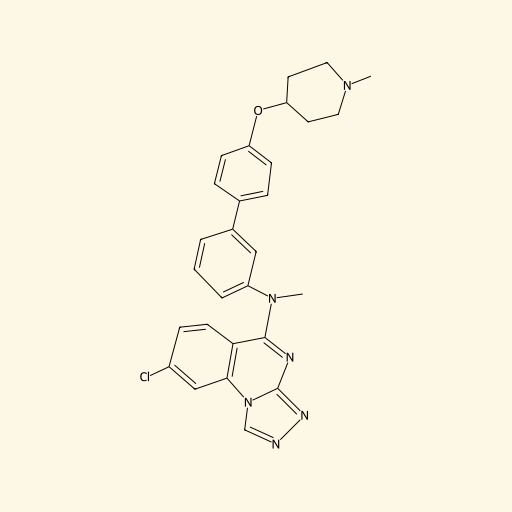 CN1CCC(Oc2ccc(-c3cccc(N(C)c4nc5nncn5c5cc(Cl)ccc45)c3)cc2)CC1